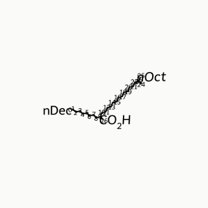 CCCCCCCCCCCCCCCCCCC(CCCCCCCCCCCCC=C(C)CCCCCCCC)C(=O)O